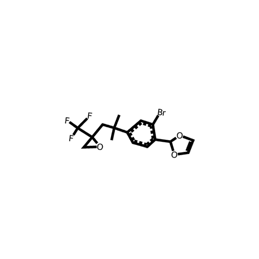 CC(C)(CC1(C(F)(F)F)CO1)c1ccc(C2OC=CO2)c(Br)c1